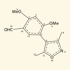 COc1cc(OC)c(-c2c(C)noc2C)cc1C=O